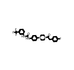 O=C(Nc1ccc(N2CCN(C(=O)Cc3ccc(F)cc3)CC2)cc1)Nc1cccc(C(F)(F)F)c1